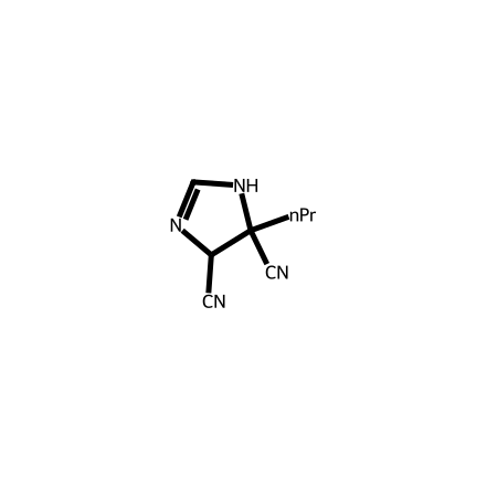 CCCC1(C#N)NC=NC1C#N